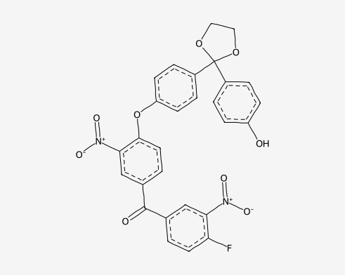 O=C(c1ccc(F)c([N+](=O)[O-])c1)c1ccc(Oc2ccc(C3(c4ccc(O)cc4)OCCO3)cc2)c([N+](=O)[O-])c1